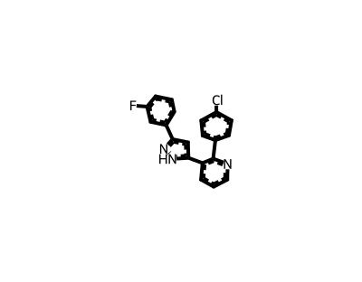 Fc1cccc(-c2cc(-c3cccnc3-c3ccc(Cl)cc3)[nH]n2)c1